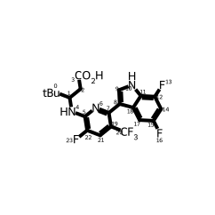 CC(C)(C)C(CC(=O)O)Nc1nc(-c2c[nH]c3c(F)cc(F)cc23)c(C(F)(F)F)cc1F